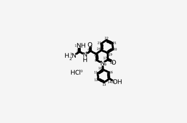 Cl.N=C(N)NC(=O)c1cn(-c2cccc(O)c2)c(=O)c2ccccc12